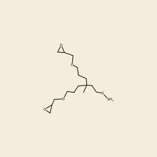 CC(CCCOCC1CO1)(CCCOCC1CO1)CCO[SiH3]